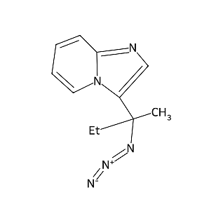 CCC(C)(N=[N+]=[N-])c1cnc2ccccn12